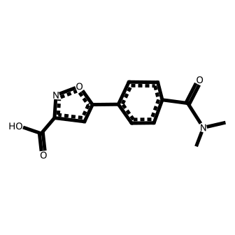 CN(C)C(=O)c1ccc(-c2cc(C(=O)O)no2)cc1